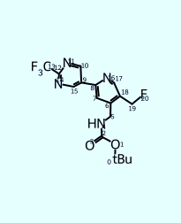 CC(C)(C)OC(=O)NCc1cc(-c2cnc(C(F)(F)F)nc2)ncc1CF